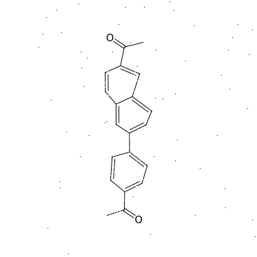 CC(=O)c1ccc(-c2ccc3cc(C(C)=O)ccc3c2)cc1